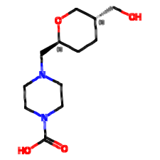 O=C(O)N1CCN(C[C@@H]2CC[C@@H](CO)CO2)CC1